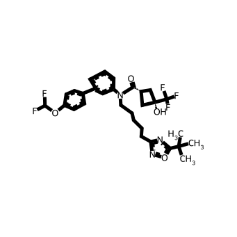 CC(C)(C)c1nc(CCCCCN(c2cccc(-c3ccc(OC(F)F)cc3)c2)C(=O)[C@H]2C[C@](O)(C(F)(F)F)C2)no1